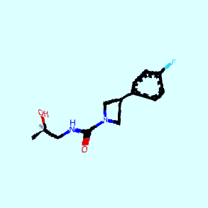 C[C@@H](O)CNC(=O)N1CC(c2ccc(F)cc2)C1